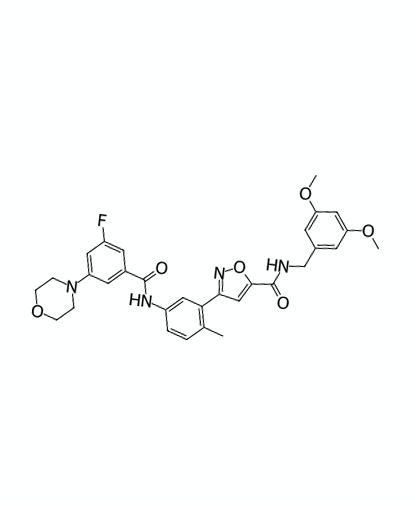 COc1cc(CNC(=O)c2cc(-c3cc(NC(=O)c4cc(F)cc(N5CCOCC5)c4)ccc3C)no2)cc(OC)c1